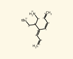 C=C/C=C\C(=C/C=C)C(CN)CC(C)(C)C